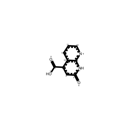 O=C(O)c1cc(=O)[nH]c2ncccc12